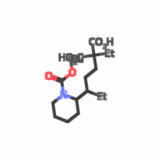 CCC(CCC(CC)(C(=O)O)C(=O)O)C1CCCCN1C(=O)OC(C)(C)C